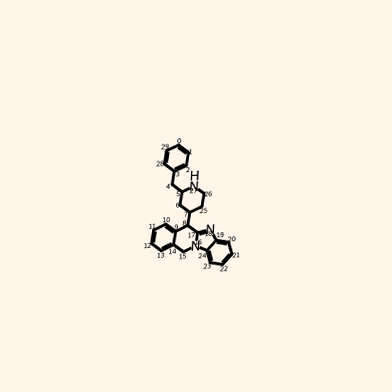 c1ccc(CC2CC(C3c4ccccc4Cn4c3nc3ccccc34)CCN2)cc1